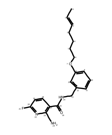 CC=CCCCCOc1cccc(CNC(=O)c2ccc(F)nc2N)c1